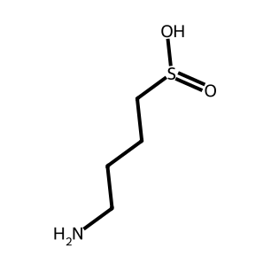 NCCCCS(=O)O